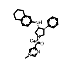 Cn1cnc(S(=O)(=O)N2C[C@H](Nc3ccc4c(c3)CCCC4)[C@@H](c3ccccc3)C2)c1